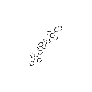 c1ccc(-c2c3ccccc3c(-c3ccc4c(c3)Sc3ccc5c6c(ccc-4c36)-c3ccc(-c4c6ccccc6c(-c6ccc7ccccc7c6)c6ccccc46)cc3S5)c3ccccc23)cc1